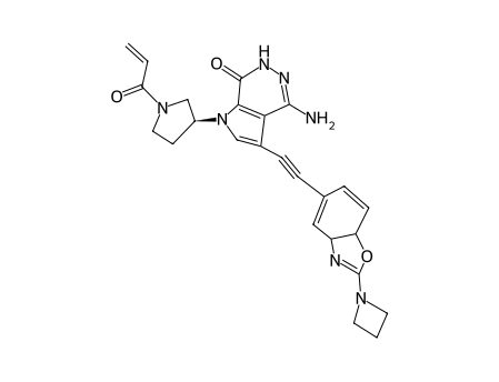 C=CC(=O)N1CC[C@H](n2cc(C#CC3=CC4N=C(N5CCC5)OC4C=C3)c3c(N)n[nH]c(=O)c32)C1